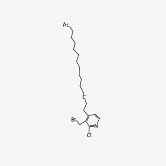 CC(=O)CCCCCCCCCCCCCCc1ccnc(Cl)c1CBr